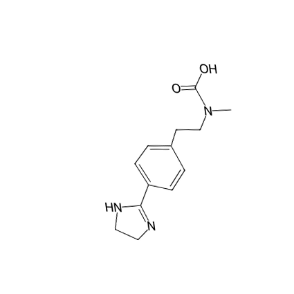 CN(CCc1ccc(C2=NCCN2)cc1)C(=O)O